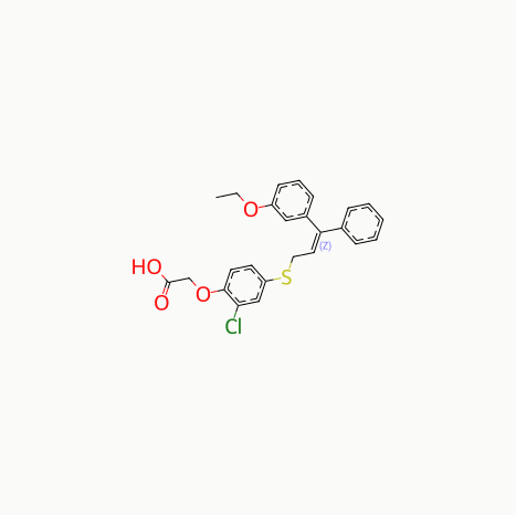 CCOc1cccc(/C(=C\CSc2ccc(OCC(=O)O)c(Cl)c2)c2ccccc2)c1